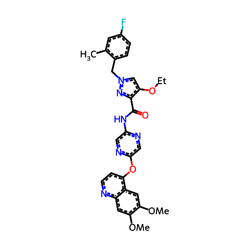 CCOc1cn(Cc2ccc(F)cc2C)nc1C(=O)Nc1cnc(Oc2ccnc3cc(OC)c(OC)cc23)cn1